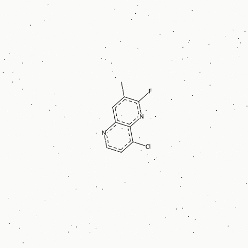 Cc1cc2nccc(Cl)c2nc1F